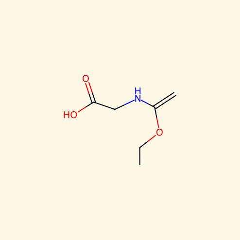 C=C(NCC(=O)O)OCC